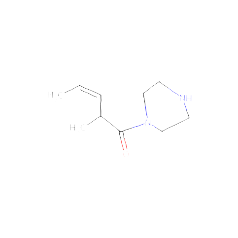 C/C=C\C(C)C(=O)N1CCNCC1